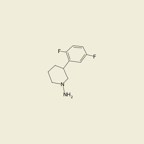 NN1CCCC(c2cc(F)ccc2F)C1